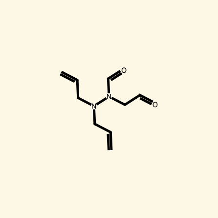 C=CCN(CC=C)N(C=O)C[C]=O